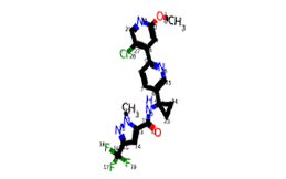 COc1cc(-c2ccc(C3(NC(=O)c4cc(C(F)(F)F)nn4C)CC3)cn2)c(Cl)cn1